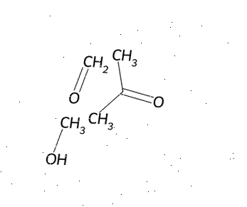 C=O.CC(C)=O.CO